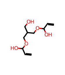 C=CC(O)OCC(CO)COC(O)C=C